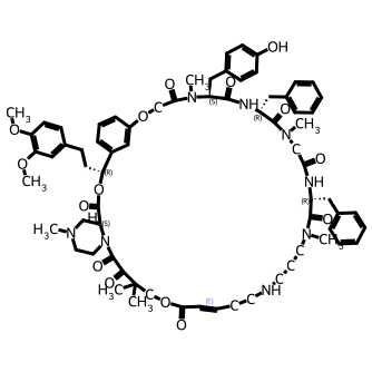 COc1ccc(CC[C@H]2OC(=O)[C@@H]3CN(C)CCN3C(=O)C(=O)C(C)(C)COC(=O)/C=C/CCNCCCN(C)C(=O)[C@@H](Cc3ccccc3)NC(=O)CN(C)C(=O)[C@@H](Cc3ccccc3)NC(=O)[C@H](Cc3ccc(O)cc3)N(C)C(=O)COc3cccc2c3)cc1OC